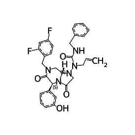 C=CCN(C(=O)NCc1ccccc1)N1CC(=O)N2[C@@H](c3cccc(O)c3)C(=O)N(Cc3ccc(F)cc3F)C[C@@H]21